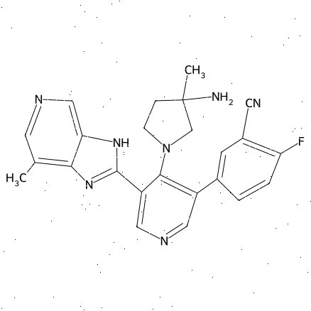 Cc1cncc2[nH]c(-c3cncc(-c4ccc(F)c(C#N)c4)c3N3CCC(C)(N)C3)nc12